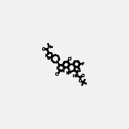 CN(C)C(=O)C1=NOC2(CCCN(c3nc(Cl)nc4c(F)c(-c5ccc(F)c6sc(NC(=O)OC(C)(C)C)c(C#N)c56)c(Cl)cc34)CC2)C1